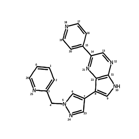 c1ccc(Cn2cc(-c3c[nH]c4ncc(-c5ccncc5)nc34)cn2)nc1